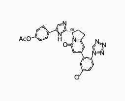 CC(=O)Oc1ccc(-c2cnc([C@@H]3CCc4cc(-c5cc(Cl)ccc5-n5cnnn5)cc(=O)n43)[nH]2)cc1